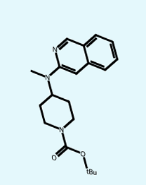 CN(c1cc2ccccc2cn1)C1CCN(C(=O)OC(C)(C)C)CC1